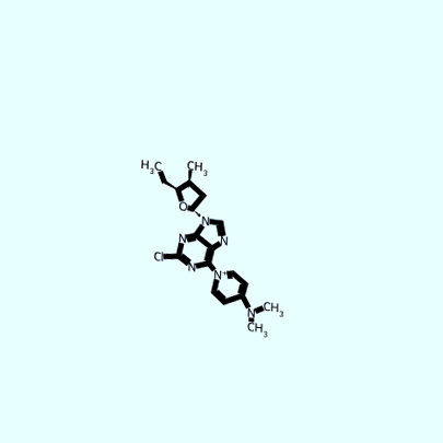 CC[C@@H]1O[C@@H](n2cnc3c(-[n+]4ccc(N(C)C)cc4)nc(Cl)nc32)C[C@@H]1C